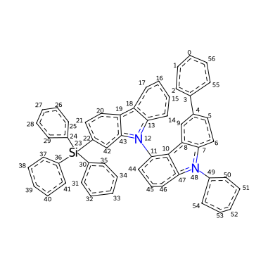 c1ccc(-c2ccc3c(c2)c2c(-n4c5ccccc5c5ccc([Si](c6ccccc6)(c6ccccc6)c6ccccc6)cc54)cccc2n3-c2ccccc2)cc1